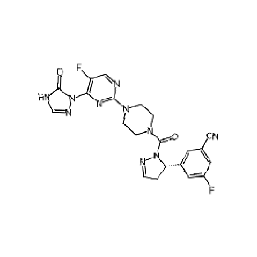 N#Cc1cc(F)cc([C@@H]2CC=NN2C(=O)N2CCN(c3ncc(F)c(-n4nc[nH]c4=O)n3)CC2)c1